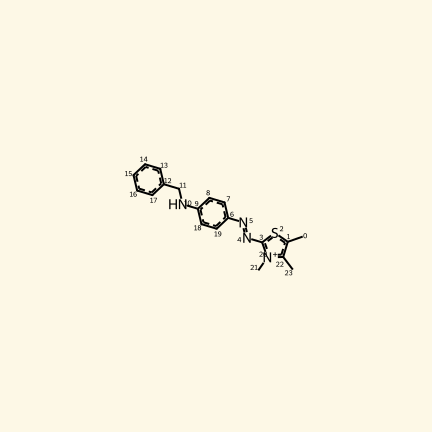 Cc1sc(/N=N/c2ccc(NCc3ccccc3)cc2)[n+](C)c1C